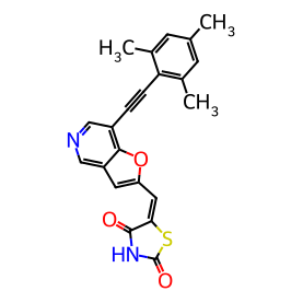 Cc1cc(C)c(C#Cc2cncc3cc(/C=C4/SC(=O)NC4=O)oc23)c(C)c1